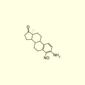 C[C@]12CCC3c4ccc(N)c(N=O)c4CCC3C1CCC2=O